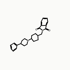 O=C1c2ccccc2C(=O)N1CC1CCC(N2CCC(c3ccccc3)CC2)CC1